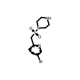 O=S(=O)(Cc1ccc(Br)cn1)N1CCNCC1